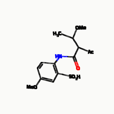 COc1ccc(NC(=O)C(C(C)=O)C(C)OC)c(S(=O)(=O)O)c1